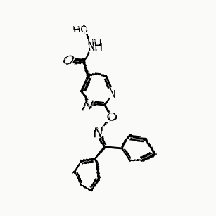 O=C(NO)c1cnc(ON=C(c2ccccc2)c2ccccc2)nc1